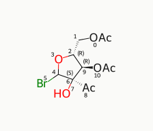 CC(=O)OC[C@H]1OC(Br)[C@@](O)(C(C)=O)[C@@H]1OC(C)=O